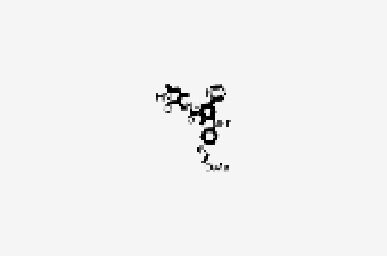 CCN(c1cc(-c2cnccn2)cc(C(=O)NCc2c(C)cc(C)[nH]c2=O)c1C)[C@H]1CC[C@H](N(C)CCOC)CC1